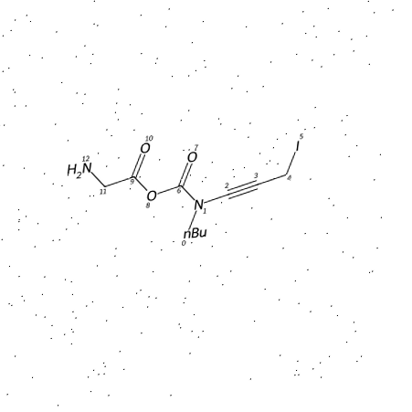 CCCCN(C#CCI)C(=O)OC(=O)CN